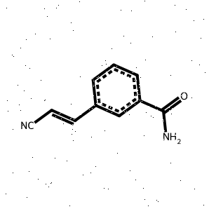 N#CC=Cc1cccc(C(N)=O)c1